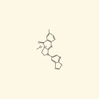 CO[C@@]12CCN(c3cnc4sccc4c3)C1=Nc1ccc(C)cc1C2=O